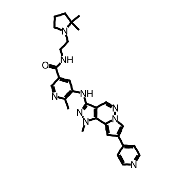 Cc1ncc(C(=O)NCCN2CCCC2(C)C)cc1Nc1nn(C)c2c1cnn1cc(-c3ccncc3)cc21